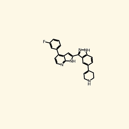 Fc1cccc(-c2ccnc3[nH]c(-c4n[nH]c5ccc(C6=CCNCC6)cc45)cc23)c1